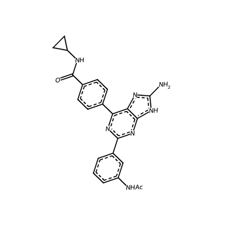 CC(=O)Nc1cccc(-c2nc(-c3ccc(C(=O)NC4CC4)cc3)c3nc(N)[nH]c3n2)c1